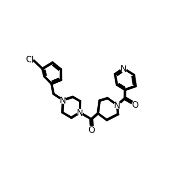 O=C(c1ccncc1)N1CCC(C(=O)N2CCN(Cc3cccc(Cl)c3)CC2)CC1